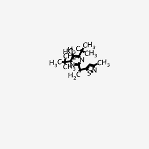 C=C(c1nc(C(C)(C)C)c(O)c(C(C)(C)C)n1)c1cc(C)ns1